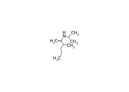 C=C(NC(C)C)C(C)CCC